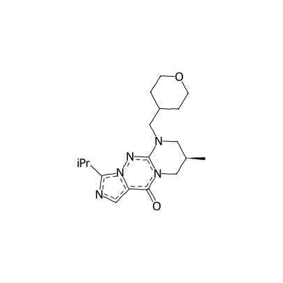 CC(C)c1ncc2c(=O)n3c(nn12)N(CC1CCOCC1)C[C@@H](C)C3